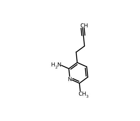 C#CCCc1ccc(C)nc1N